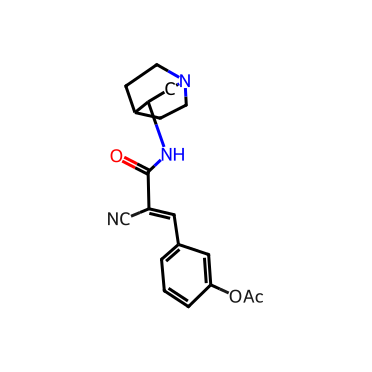 CC(=O)Oc1cccc(C=C(C#N)C(=O)NC2CN3CCC2CC3)c1